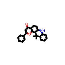 CC1(C)c2ccccc2Nc2ccc3c(=O)cc(-c4ccccc4)oc3c21